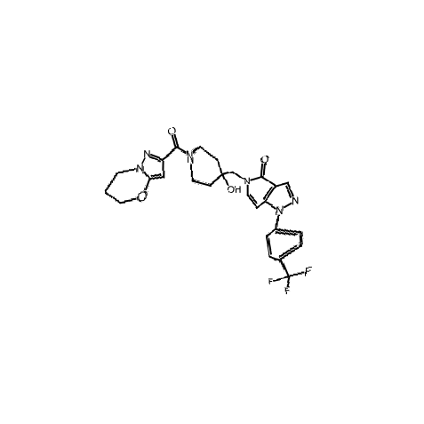 O=C(c1cc2n(n1)CCCO2)N1CCC(O)(Cn2ccc3c(cnn3-c3ccc(C(F)(F)F)cc3)c2=O)CC1